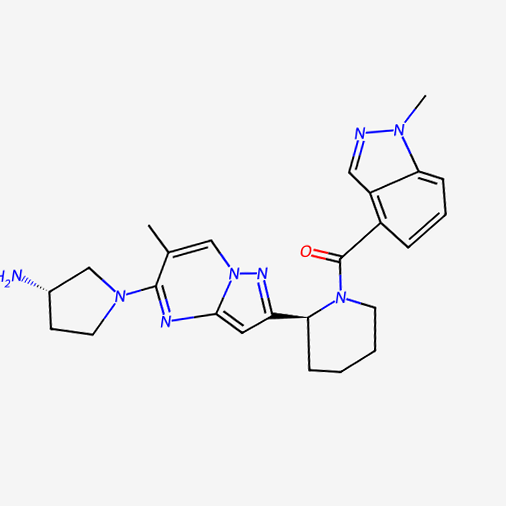 Cc1cn2nc([C@@H]3CCCCN3C(=O)c3cccc4c3cnn4C)cc2nc1N1CC[C@H](N)C1